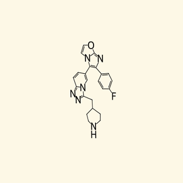 Fc1ccc(-c2nc3occn3c2-c2ccc3nnc(CC4CCNCC4)n3c2)cc1